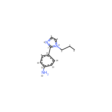 CCCn1ccnc1-c1ccc(N)cc1